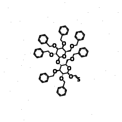 S=CO[C@@H]1O[C@H](COCc2ccccc2)[C@@H](O[C@@H]2O[C@H](COCc3ccccc3)[C@H](OCc3ccccc3)[C@H](OCc3ccccc3)[C@H]2OCc2ccccc2)[C@H](OCc2ccccc2)[C@H]1OCc1ccccc1